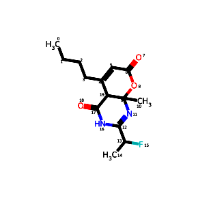 CCCCC1=CC(=O)OC2(C)N=C(C(C)F)NC(=O)C12